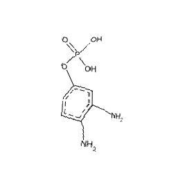 Nc1ccc(OP(=O)(O)O)cc1N